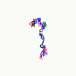 Cn1c(=O)n(C2CCC(=O)NC2=O)c2cccc(C#CCN3CCC4(CC3)CN(C[C@H]3CC[C@H](n5cc(NC(=O)c6cnn7ccc(N8C[C@H]9C[C@@H]8CO9)nc67)c(C(F)F)n5)CC3)C4)c21